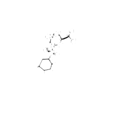 N#CCN(SC(Cl)=C(Cl)Cl)S(=O)(=O)C1CCCCC1